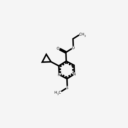 CCOC(=O)c1cnc(SC)nc1C1CC1